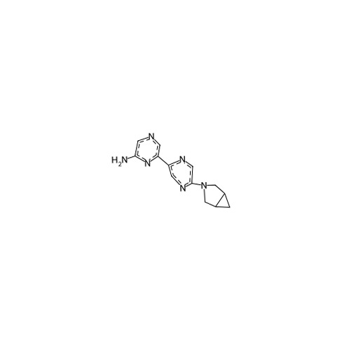 Nc1cncc(-c2cnc(N3CC4CC4C3)cn2)n1